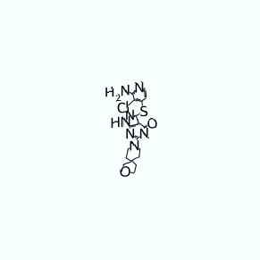 Cn1c(N2CCC3(CCOC3)CC2)nc2[nH]nc(Sc3ccnc(N)c3Cl)c2c1=O